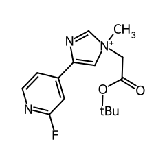 CC(C)(C)OC(=O)C[N+]1(C)C=NC(c2ccnc(F)c2)=C1